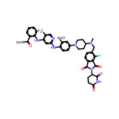 CNC(=O)c1ccccc1Nc1cc(Nc2ccc(N3CCC(N(C)Cc4ccc5c(c4F)C(=O)N(C4CCC(=O)NC4=O)C5=O)CC3)cc2OC)ncc1C(F)(F)F